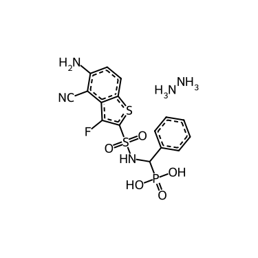 N.N.N#Cc1c(N)ccc2sc(S(=O)(=O)NC(c3ccccc3)P(=O)(O)O)c(F)c12